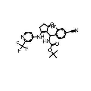 CC(C)(C)OC(=O)NC(C1=C(Nc2ccnc(C(F)(F)F)c2)CCC1=O)c1ccc(C#N)cc1Br